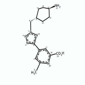 Cc1cc(-c2nnn(C[C@H]3CC[C@H](N)CC3)n2)cc(C(=O)O)n1